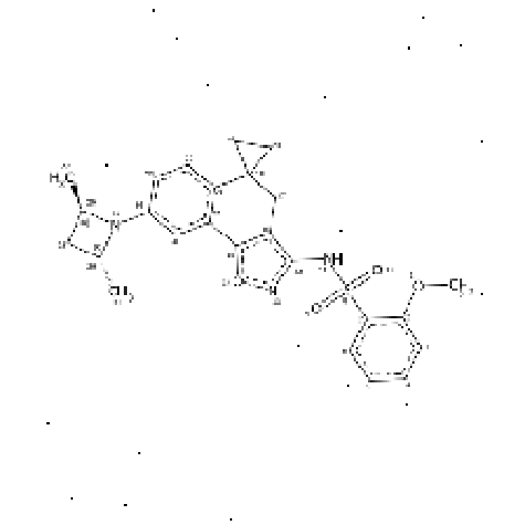 COc1ccccc1S(=O)(=O)Nc1noc2c1CC1(CC1)c1ccc(N3[C@H](C)C[C@H]3C)cc1-2